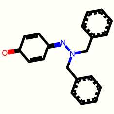 O=C1C=CC(=NN(Cc2ccccc2)Cc2ccccc2)C=C1